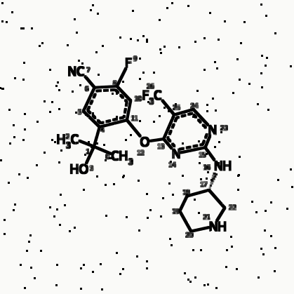 CC(C)(O)c1cc(C#N)c(F)cc1Oc1nc(N[C@H]2CCCNC2)ncc1C(F)(F)F